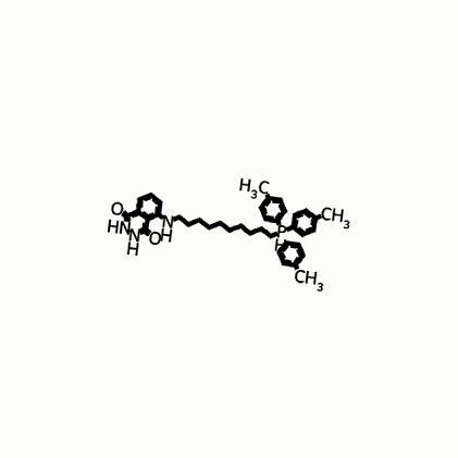 Cc1ccc([PH](CCCCCCCCCCNc2cccc3c(=O)[nH][nH]c(=O)c23)(c2ccc(C)cc2)c2ccc(C)cc2)cc1